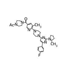 CC(=O)N1CCN(C(=O)c2cnc(N3CCN(c4cc(-c5ccc(F)cc5)nc(N5CCCC5C)n4)CC3)c(C)c2)CC1